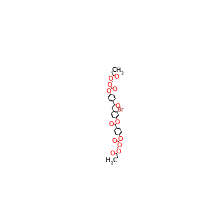 C=CC(=O)OCOC(=O)Oc1ccc(C(=O)Cc2ccc(OC(=O)c3ccc(OC(=O)OCOC(=O)C=C)cc3)cc2Br)cc1